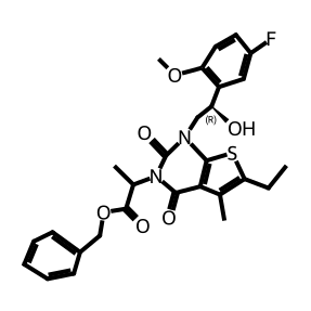 CCc1sc2c(c1C)c(=O)n(C(C)C(=O)OCc1ccccc1)c(=O)n2C[C@H](O)c1cc(F)ccc1OC